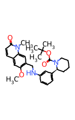 COc1cc2ccc(=O)n(C)c2cc1CNc1cccc([C@@H]2CCCCN2C(=O)OC(C)(C)C)c1